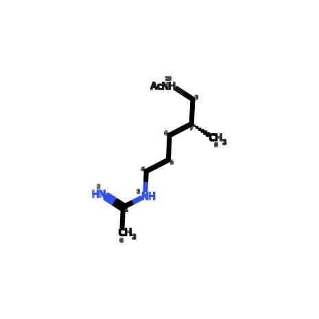 CC(=N)NCCC[C@@H](C)CNC(C)=O